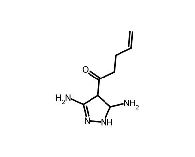 C=CCCC(=O)C1C(N)=NNC1N